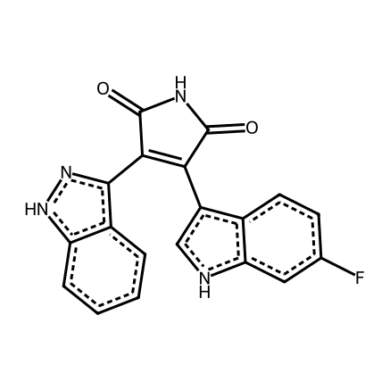 O=C1NC(=O)C(c2n[nH]c3ccccc23)=C1c1c[nH]c2cc(F)ccc12